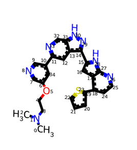 CN(C)CCOc1cncc(-c2cc3c(-c4cc5c(-c6cccs6)ccnc5[nH]4)n[nH]c3cn2)c1